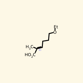 CCOCCC/C=C(\C)C(=O)O